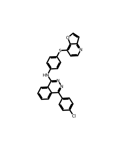 Clc1ccc(-c2nnc(Nc3ccc(Sc4ccnc5ccoc45)cc3)c3ccccc23)cc1